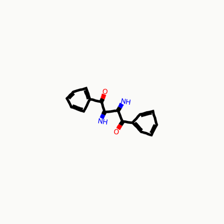 N=C(C(=N)C(=O)c1ccccc1)C(=O)c1ccccc1